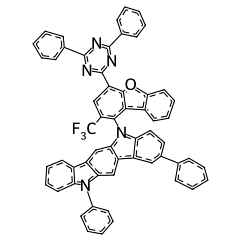 FC(F)(F)c1cc(-c2nc(-c3ccccc3)nc(-c3ccccc3)n2)c2oc3ccccc3c2c1-n1c2ccc(-c3ccccc3)cc2c2cc3c(cc21)c1ccccc1n3-c1ccccc1